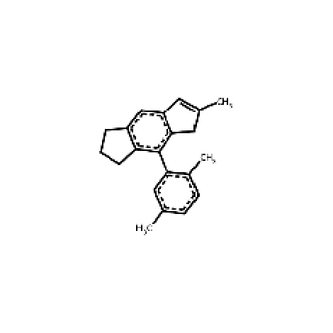 CC1=Cc2cc3c(c(-c4cc(C)ccc4C)c2C1)CCC3